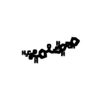 CS(=O)(=O)Nc1ccc(C(=O)CN2C[C@@H]3CC(O)(Cc4ccccc4)C[C@@H]3C2)cc1